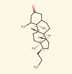 CCC[C@@H]1CC[C@H]2[C@@H]3CCC4CC(=O)CC(C)[C@]4(C)[C@H]3CC[C@]12C